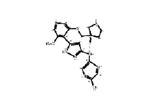 COc1cncc(OC[C@@]2(F)CCNC2)c1-c1cc(Nc2cnc(C#N)cn2)n[nH]1